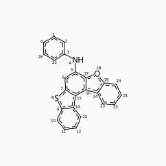 c1ccc(Nc2cc3sc4ccccc4c3c3c2oc2ccccc23)cc1